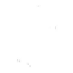 Cc1c(F)ccc2c1C=CN=NC2